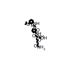 CC(C)Oc1cccc2[nH]c(Cn3cccc(NC(=O)[C@H](CC/C=C/C(N)=O)NC(=O)O)c3=O)nc12